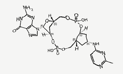 Cc1nccc(N[C@@H]2C[C@@H]3COP(=O)(O)O[C@@H]4C[C@@H](COP(=O)(O)O[C@H]3C2)O[C@H]4n2cnc3c(=O)[nH]c(N)nc32)n1